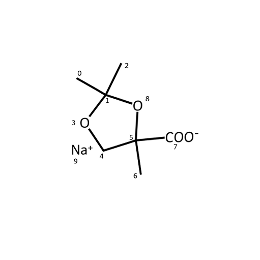 CC1(C)OCC(C)(C(=O)[O-])O1.[Na+]